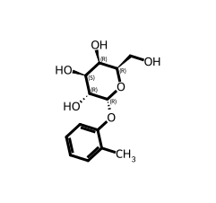 Cc1ccccc1O[C@H]1O[C@H](CO)[C@H](O)[C@H](O)[C@H]1O